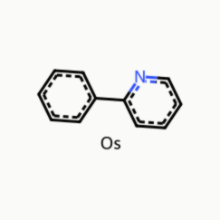 [Os].c1ccc(-c2ccccn2)cc1